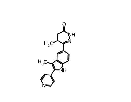 Cc1c(-c2ccncc2)[nH]c2ccc(C3=NNC(=O)CC3C)cc12